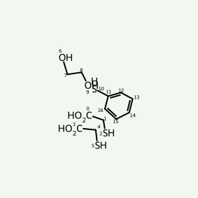 O=C(O)CS.O=C(O)CS.OCCO.Sc1ccccc1